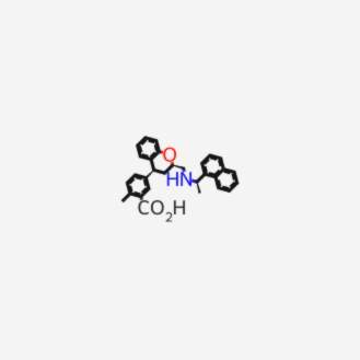 Cc1ccc([C@@H]2C[C@H](CN[C@H](C)c3cccc4ccccc34)Oc3ccccc32)cc1C(=O)O